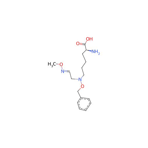 CON=CCN(CCCC[C@H](N)C(=O)O)OCc1ccccc1